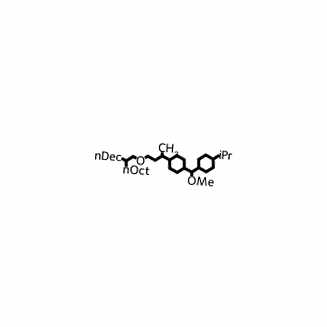 CCCCCCCCCCC(CCCCCCCC)COCCC(C)C1CCC(C(OC)C2CCC(C(C)C)CC2)CC1